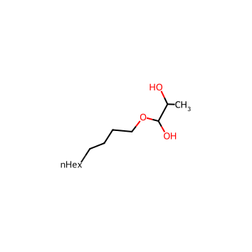 CCCCCCCCCCOC(O)C(C)O